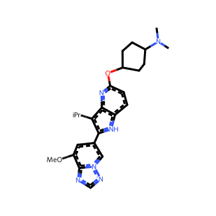 COc1cc(-c2[nH]c3ccc(OC4CCC(N(C)C)CC4)nc3c2C(C)C)cn2ncnc12